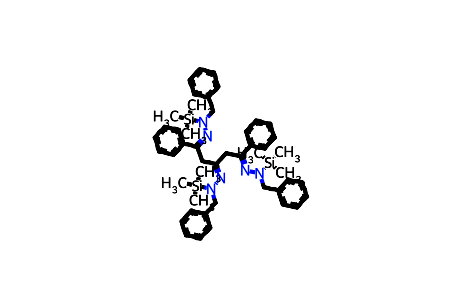 C[Si](C)(C)N(Cc1ccccc1)N=C(CC(=NN(Cc1ccccc1)[Si](C)(C)C)c1ccccc1)CC(=NN(Cc1ccccc1)[Si](C)(C)C)c1ccccc1